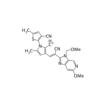 COCn1c(C(C#N)=Cc2cc(C)n(-c3sc(C)cc3C#N)c2C)nc2cc(OC)ncc21